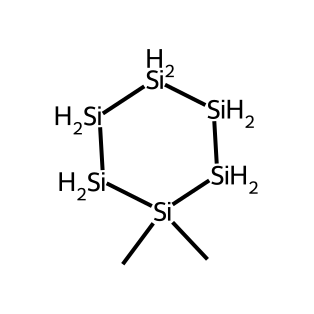 C[Si]1(C)[SiH2][SiH2][SiH2][SiH2][SiH2]1